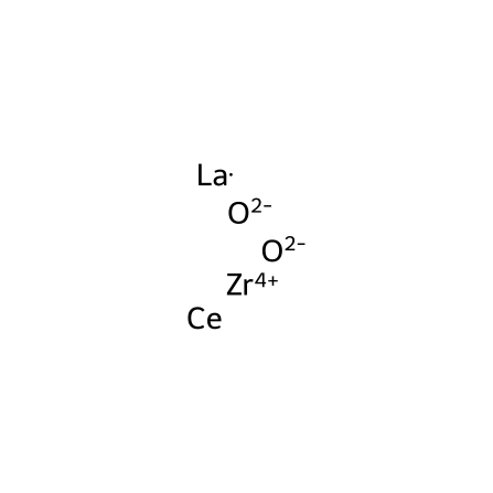 [Ce].[La].[O-2].[O-2].[Zr+4]